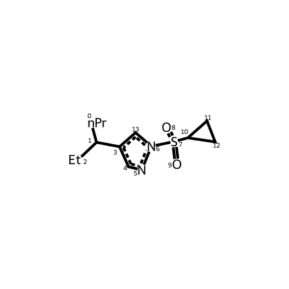 CCCC(CC)c1cnn(S(=O)(=O)C2CC2)c1